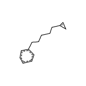 C1=C(CCCCCc2ccccc2)C1